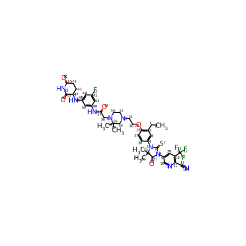 CCc1cc(N2C(=S)N(c3cnc(C#N)c(C(F)(F)F)c3)C(=O)C2(C)C)ccc1OCCN1CCN(CC(=O)Nc2cc(F)cc(NC3CCC(=O)NC3=O)c2)C(C)(C)C1